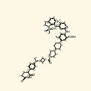 COc1cc(N2CCC(N3CCN(C(=O)[C@H]4C[C@H](N(C)c5ccc(C6CCC(=O)NC6=O)cc5)C4)CC3)CC2)c(C)cc1Nc1ncc(Br)c(Nc2cccc3c2N(S(C)(=O)=O)CC3)n1